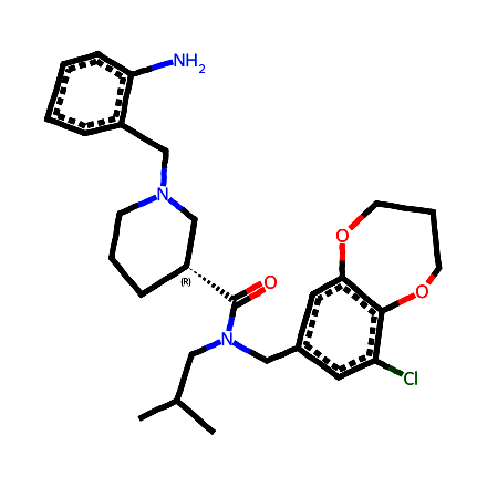 CC(C)CN(Cc1cc(Cl)c2c(c1)OCCCO2)C(=O)[C@@H]1CCCN(Cc2ccccc2N)C1